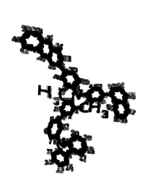 Cc1cc(-c2cccc(-n3c4ccccc4c4ccccc43)c2)cc(C)c1N(c1ccc(-c2ccc3cc4ccccc4cc3c2)cc1)c1ccc(-c2cccc3ccccc23)cc1